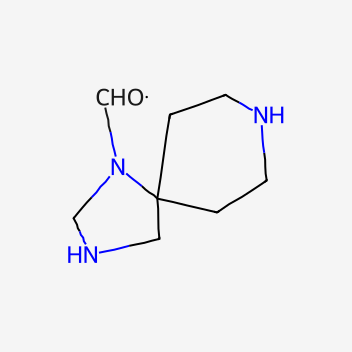 O=[C]N1CNCC12CCNCC2